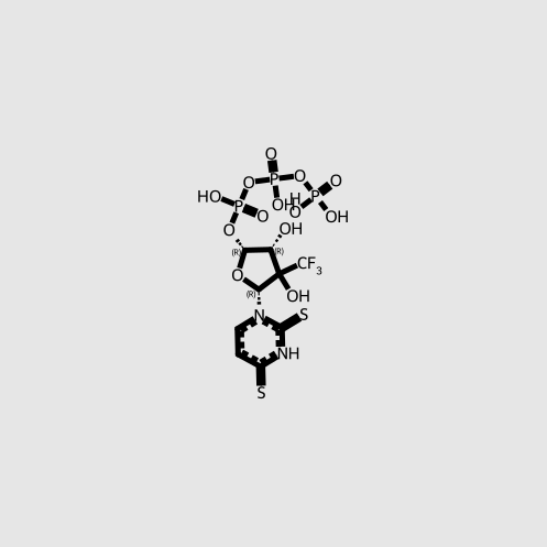 O=P(O)(O)OP(=O)(O)OP(=O)(O)O[C@H]1O[C@@H](n2ccc(=S)[nH]c2=S)C(O)(C(F)(F)F)[C@H]1O